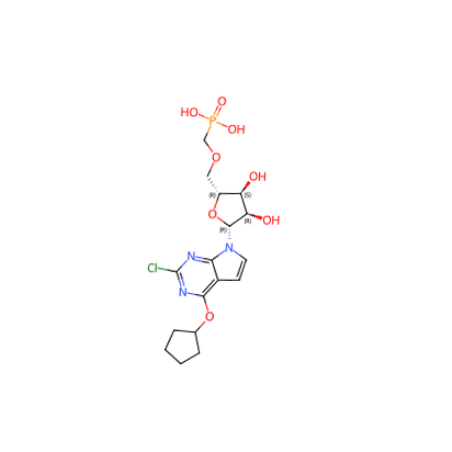 O=P(O)(O)COC[C@H]1O[C@@H](n2ccc3c(OC4CCCC4)nc(Cl)nc32)[C@H](O)[C@@H]1O